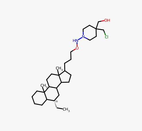 CC[C@H]1CC2C3CCC(CCCONN4CCC(CO)(CCl)CC4)C3(C)CCC2C2(C)CCCCC12